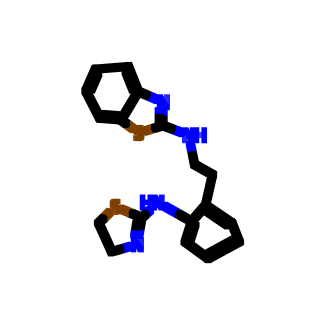 c1ccc(NC2=NCCS2)c(CCNc2nc3ccccc3s2)c1